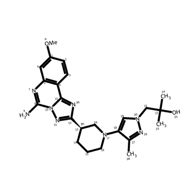 COc1ccc2c(c1)nc(N)n1nc([C@@H]3CCCN(c4cn(CC(C)(C)O)nc4C)C3)nc21